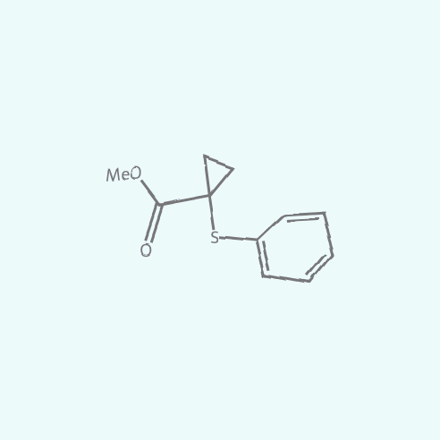 COC(=O)C1(Sc2ccccc2)CC1